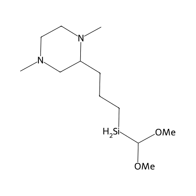 COC(OC)[SiH2]CCCC1CN(C)CCN1C